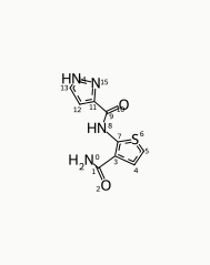 NC(=O)c1ccsc1NC(=O)c1cc[nH]n1